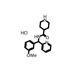 COc1cccc(C(NC(=O)C2CCNCC2)c2ccccn2)c1.Cl